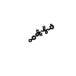 O=C(/C=C/c1cccnc1)NCC[C@@H]1[C@H]2CN(c3ccc(Cl)cc3)C[C@@H]12